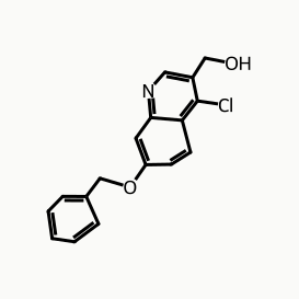 OCc1cnc2cc(OCc3ccccc3)ccc2c1Cl